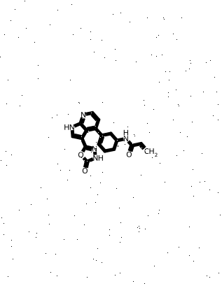 C=CC(=O)NC1CCC=C(c2ccnc3[nH]cc(-c4n[nH]c(=O)o4)c23)C1